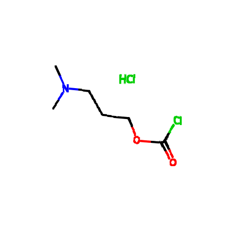 CN(C)CCCOC(=O)Cl.Cl